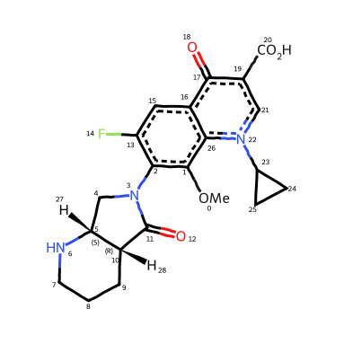 COc1c(N2C[C@H]3NCCC[C@H]3C2=O)c(F)cc2c(=O)c(C(=O)O)cn(C3CC3)c12